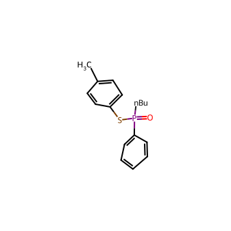 CCCCP(=O)(Sc1ccc(C)cc1)c1ccccc1